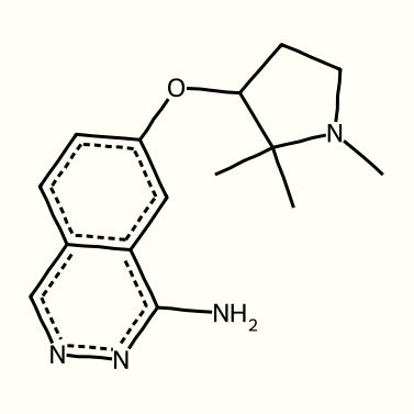 CN1CCC(Oc2ccc3cnnc(N)c3c2)C1(C)C